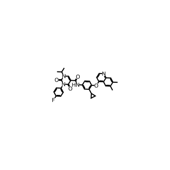 Cc1cc2nccc(Oc3ccc(NC(=O)c4cn(C(C)C)c(=O)n(-c5ccc(F)cc5)c4=O)cc3C3CC3)c2cc1C